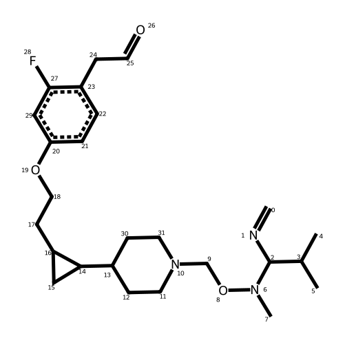 C=NC(C(C)C)N(C)OCN1CCC(C2CC2CCOc2ccc(CC=O)c(F)c2)CC1